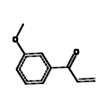 C=CC(=O)c1cccc(OC)c1